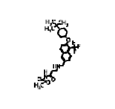 CC(C)(C)[C@H]1CC[C@H](Oc2ccc3cc(CNCCC(=O)NS(C)(=O)=O)ccc3c2C(F)(F)F)CC1